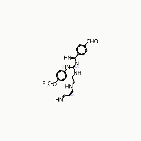 N=C/C=C\NCCN/C(=N/C(=N)c1ccc(C=O)cc1)Nc1ccc(OC(F)(F)F)cc1